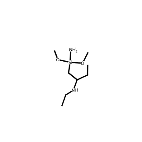 CCNC(CC)C[Si](N)(OC)OC